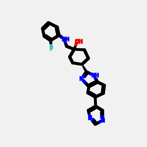 O[C@]1(CNc2ccccc2F)CC[C@@H](c2nc3cc(-c4cncnc4)ccc3[nH]2)CC1